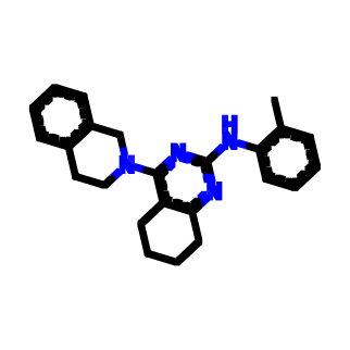 Cc1ccccc1Nc1nc2c(c(N3CCc4ccccc4C3)n1)CCCC2